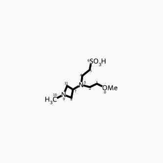 COCCN(CCS(=O)(=O)O)C1CN(C)C1